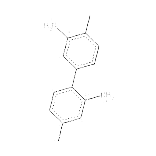 Cc1ccc(-c2ccc(C)c(N)c2)c(N)c1